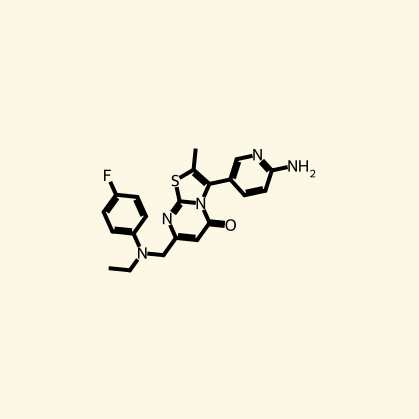 CCN(Cc1cc(=O)n2c(-c3ccc(N)nc3)c(C)sc2n1)c1ccc(F)cc1